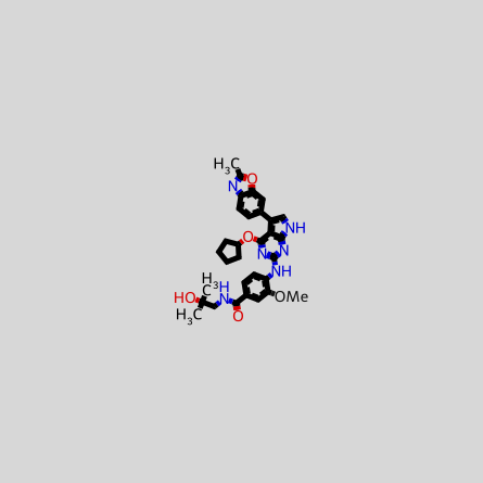 COc1cc(C(=O)NCC(C)(C)O)ccc1Nc1nc(OC2CCCC2)c2c(-c3ccc4nc(C)oc4c3)c[nH]c2n1